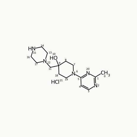 Cc1nccc(N2CCC(O)(CN3CCNCC3)CC2)n1.Cl